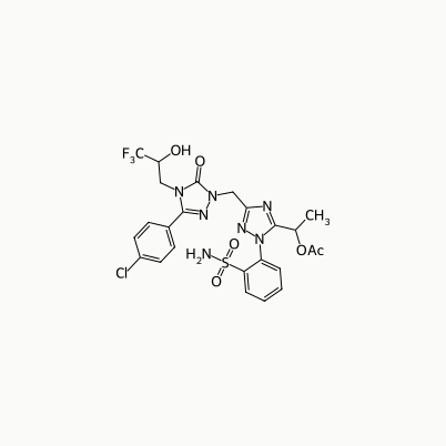 CC(=O)OC(C)c1nc(Cn2nc(-c3ccc(Cl)cc3)n(CC(O)C(F)(F)F)c2=O)nn1-c1ccccc1S(N)(=O)=O